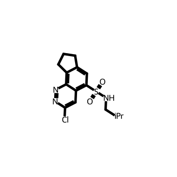 CC(C)CNS(=O)(=O)c1cc2c(c3nnc(Cl)cc13)CCC2